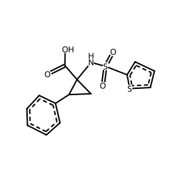 O=C(O)C1(NS(=O)(=O)c2cccs2)CC1c1ccccc1